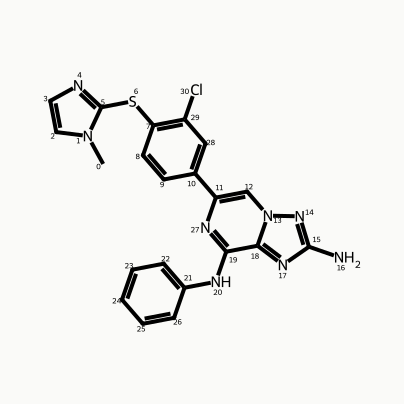 Cn1ccnc1Sc1ccc(-c2cn3nc(N)nc3c(Nc3ccccc3)n2)cc1Cl